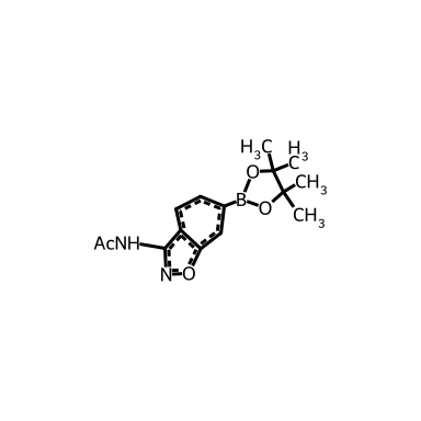 CC(=O)Nc1noc2cc(B3OC(C)(C)C(C)(C)O3)ccc12